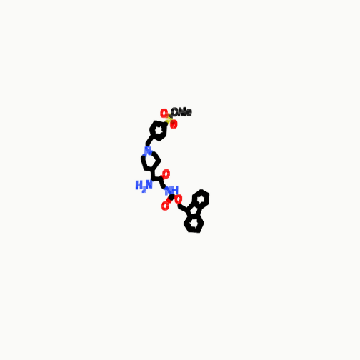 COS(=O)(=O)c1ccc(CN2CCC(C(N)C(=O)CNC(=O)OCC3c4ccccc4-c4ccccc43)CC2)cc1